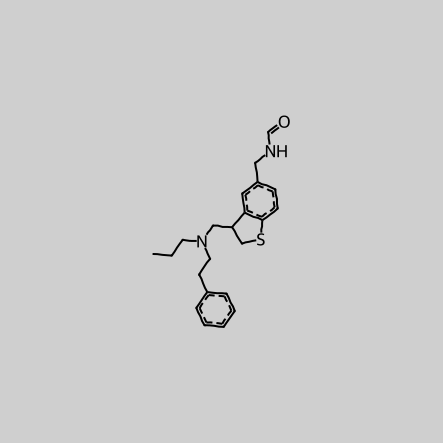 CCCN(CCc1ccccc1)CC1CSc2ccc(CNC=O)cc21